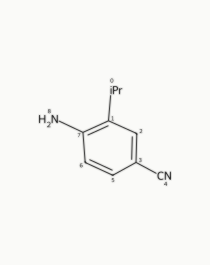 CC(C)c1cc(C#N)ccc1N